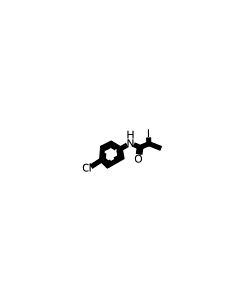 CC(I)C(=O)Nc1ccc(Cl)cc1